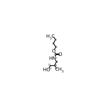 CCCCOC(=O)NCC(C)CO